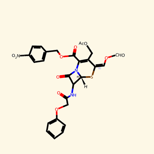 CC(=O)OCC1=C(C(=O)OCc2ccc([N+](=O)[O-])cc2)N2C(=O)C(NC(=O)COc3ccccc3)[C@H]2S/C1=C/OC=O